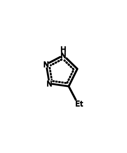 [CH2]Cc1c[nH]nn1